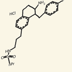 CCCS(=O)(=O)NCCCc1ccc2c(c1)C(Cc1ccc(F)cc1)C(N)CC2.Cl